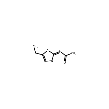 CCC1=N[N]C(=NC(C)=O)S1